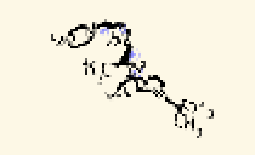 CC(=C\N/N=C\C=C\N1CCNCC1)/N=C(\C=N)N1CCN(C(C)C)CC1